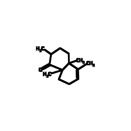 CC1=CCCC2(C)C(=O)C(C)CCC12C